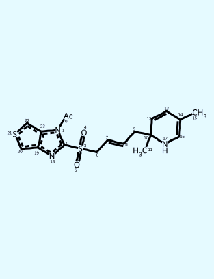 CC(=O)n1c(S(=O)(=O)CC=CCC2(C)C=CC(C)=CN2)nc2cscc21